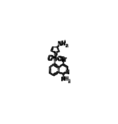 Nc1ncc(Br)c2c(S(=O)(=O)N3CCC(N)C3)cccc12